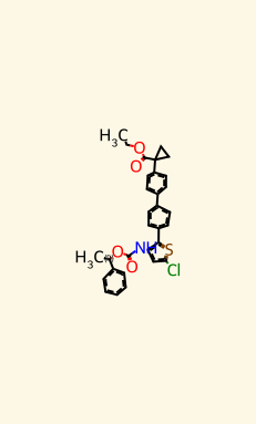 CCOC(=O)C1(c2ccc(-c3ccc(-c4sc(Cl)cc4NC(=O)O[C@H](C)c4ccccc4)cc3)cc2)CC1